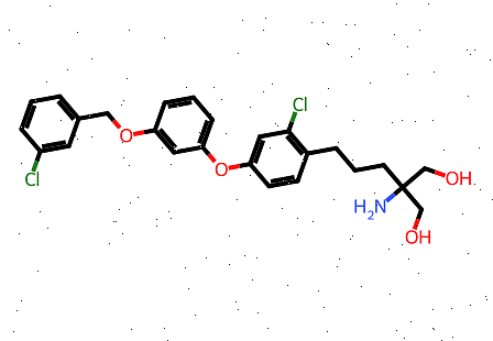 NC(CO)(CO)CCCc1ccc(Oc2cccc(OCc3cccc(Cl)c3)c2)cc1Cl